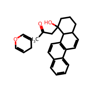 C1=COC=CC1.CC(=O)CC1(O)CCCC2C=Cc3c(ccc4ccccc34)C21